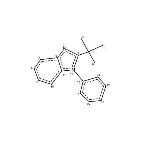 CC(C)(C)c1nc2ccccc2n1-c1ccccc1